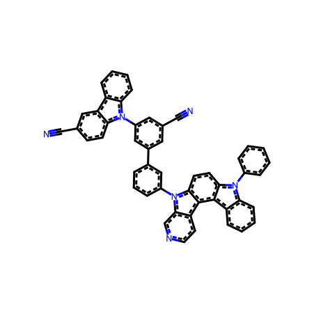 N#Cc1cc(-c2cccc(-n3c4cnccc4c4c5c6ccccc6n(-c6ccccc6)c5ccc43)c2)cc(-n2c3ccccc3c3cc(C#N)ccc32)c1